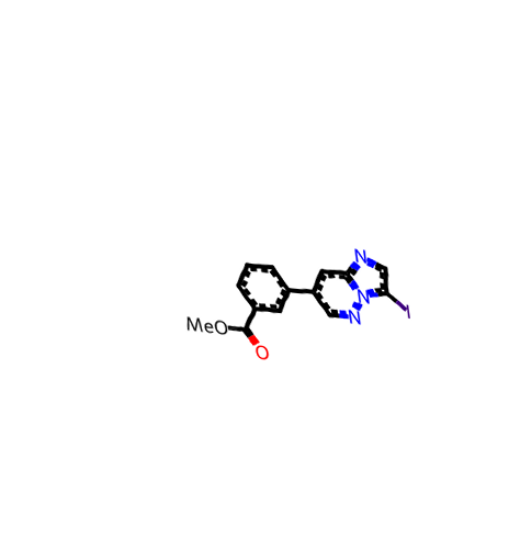 COC(=O)c1cccc(-c2cnn3c(I)cnc3c2)c1